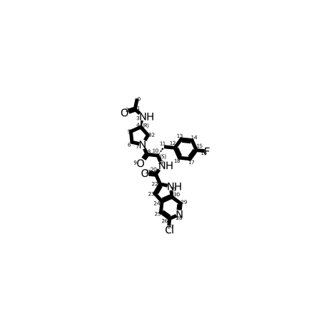 CC(=O)N[C@@H]1CCN(C(=O)[C@H](Cc2ccc(F)cc2)NC(=O)c2cc3cc(Cl)ncc3[nH]2)C1